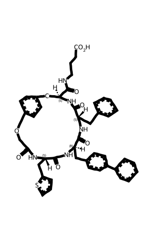 O=C(O)CCCNC(=O)[C@@H]1Cc2ccc(cc2)OCC(=O)N[C@@H](Cc2cccs2)C(=O)N[C@H](Cc2ccc(-c3ccccc3)cc2)C(=O)N[C@@H](Cc2ccccc2)C(=O)N1